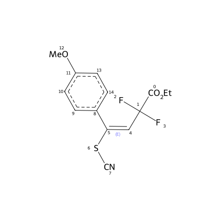 CCOC(=O)C(F)(F)/C=C(/SC#N)c1ccc(OC)cc1